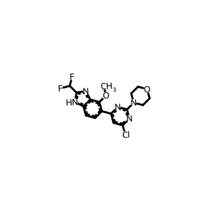 COc1c(-c2cc(Cl)nc(N3CCOCC3)n2)ccc2[nH]c(C(F)F)nc12